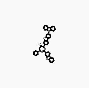 C=C1CC(c2ccccc2)N=C(c2ccc3c(c2)oc2ccccc23)N=C1c1ccc2c(c1)oc1cc(-n3c4ccccc4c4ccccc43)ccc12